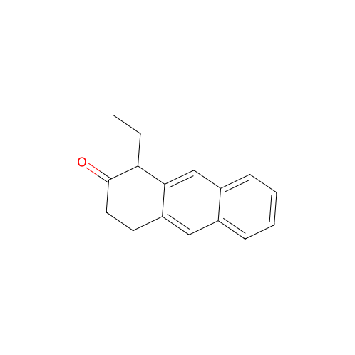 CCC1C(=O)CCc2cc3ccccc3cc21